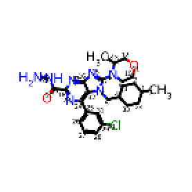 CC1CCC(Cn2c(N3CCOCC3C)nc3nc(C(=O)NN)nc(-c4cccc(Cl)c4)c32)CC1